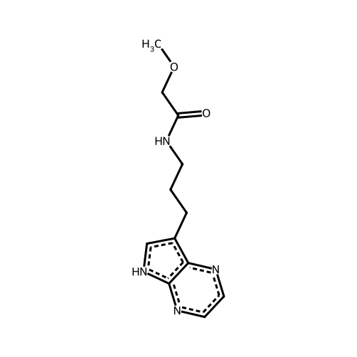 COCC(=O)NCCCc1c[nH]c2nccnc12